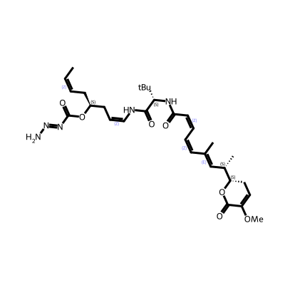 C/C=C\C[C@@H](C/C=C\NC(=O)[C@@H](NC(=O)\C=C/C=C\C(C)=C\[C@H](C)[C@@H]1CC=C(OC)C(=O)O1)C(C)(C)C)OC(=O)N=NN